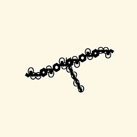 C=CC(=O)OCOc1ccc(OC(=O)C2CCC(C(=O)Oc3ccc(OC(O)C4CCC(C(=O)Oc5ccc(OCOC(=O)C=C)cc5)CC4)c(OCCOCCOCCOC)c3)CC2)cc1